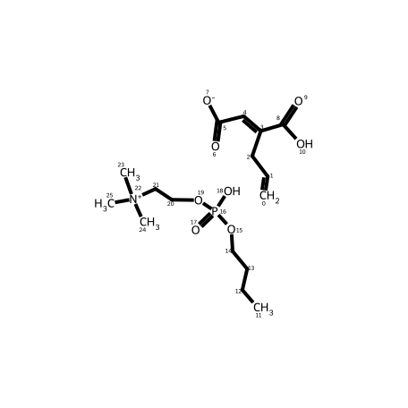 C=CC/C(=C\C(=O)[O-])C(=O)O.CCCCOP(=O)(O)OCC[N+](C)(C)C